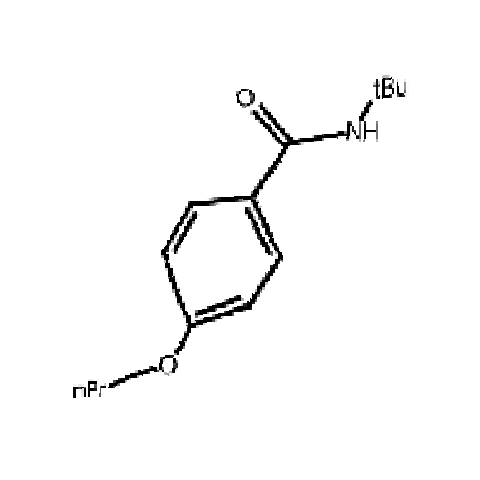 CCCOc1ccc(C(=O)NC(C)(C)C)cc1